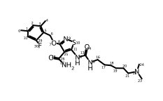 Cc1cc(C)c(COc2nsc(NC(=O)NCCCCCCN(C)C)c2C(N)=O)c(F)c1